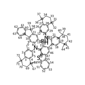 Cc1cc2c(cc1N1c3cc4c(cc3Bc3c(-c5cc6c(cc5Nc5ccc7c(c5)C(C)(C)CCC7(C)C)C(C)(C)CCC6(C)C)cc5c(sc6ccccc65)c31)C(C)(C)c1ccccc1-4)C(C)(C)CCC2(C)C